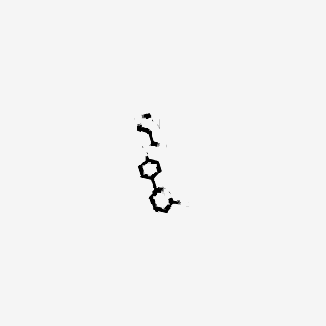 O=C(Nc1ccc(-c2cccc(Br)n2)cc1)c1cocn1